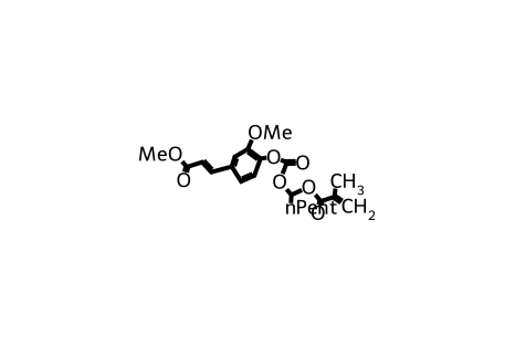 C=C(C)C(=O)OC(CCCCC)OC(=O)Oc1ccc(C=CC(=O)OC)cc1OC